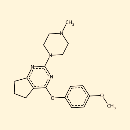 COc1ccc(Oc2nc(N3CCN(C)CC3)nc3c2CCC3)cc1